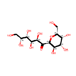 O=C([C@H]1O[C@H](CO)[C@H](O)[C@H](O)[C@H]1O)[C@H](O)[C@@H](O)[C@@H](O)[C@H](O)CO